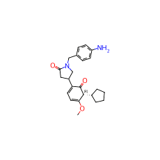 COC1=CC=C(C2CC(=O)N(Cc3ccc(N)cc3)C2)C(=O)[C@@H]1C1CCCC1